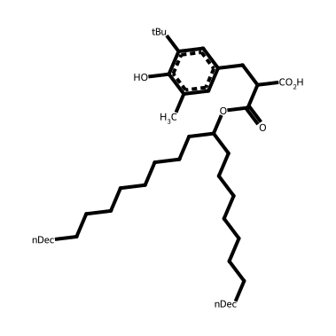 CCCCCCCCCCCCCCCCCCC(CCCCCCCCCCCCCCCCC)OC(=O)C(Cc1cc(C)c(O)c(C(C)(C)C)c1)C(=O)O